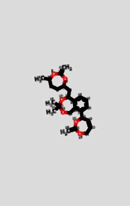 C=C1OC(C)CCC(CC2OC(C)(C)OCc3c(C4C=CCOC(=C)O4)cccc32)O1